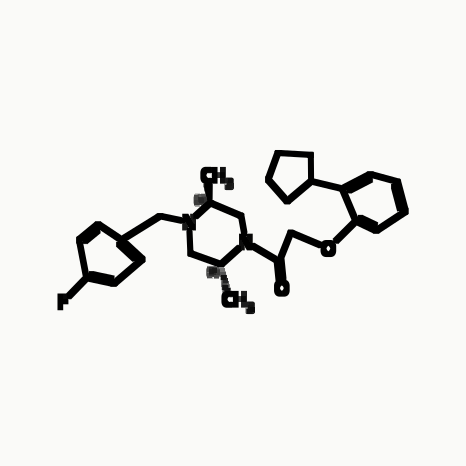 C[C@@H]1CN(Cc2ccc(F)cc2)[C@@H](C)CN1C(=O)COc1ccccc1C1CCCC1